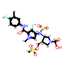 Cc1cc(NC(=O)c2c(F)c(N([C@H]3CN(C(=O)O)C[C@H]3COS(C)(=O)=O)[SH](=O)=O)cn2C)ccc1F